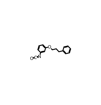 O=C=Nc1cccc(OCCCc2ccccc2)c1